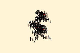 CC[C@H](C)C(NC(=O)CNC(=O)[C@H](CCCCN)NC(=O)[C@H](Cc1c[nH]c2ccccc12)NC(=O)[C@H](CC(N)=O)NC(=O)[C@@H](N)[C@@H](C)CC)C(=O)N[C@@H](C)C(=O)N[C@@H](C)C(=O)N[C@@H](CCSC)C(=O)N[C@@H](C)C(=O)N[C@@H](CCCCN)C(=O)N[C@@H](CCCCN)C(=O)N[C@@H](CC(C)C)C(=O)N[C@@H](CC(C)C)C(N)=O